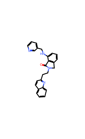 O=C1c2c(cccc2NCc2cccnc2)CN1CCc1ccc2ccccc2n1